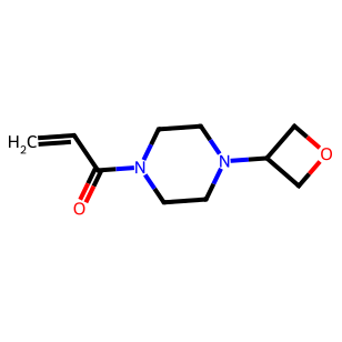 C=CC(=O)N1CCN(C2COC2)CC1